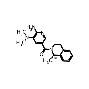 C[C@@H]1c2ccccc2CCN1C(=O)c1cnc(N)c(N(C)C)c1